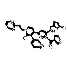 O=C(c1ccsc1)n1nc(-c2ccn(CCc3ncccn3)c(=O)c2-c2cccnc2)cc1NCc1ccc(Cl)s1